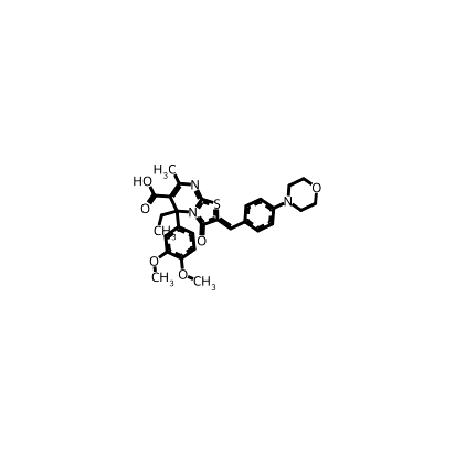 CCC1(c2ccc(OC)c(OC)c2)C(C(=O)O)=C(C)N=c2s/c(=C\c3ccc(N4CCOCC4)cc3)c(=O)n21